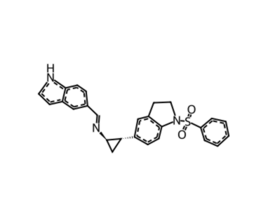 O=S(=O)(c1ccccc1)N1CCc2cc([C@@H]3C[C@H]3N=Cc3ccc4[nH]ccc4c3)ccc21